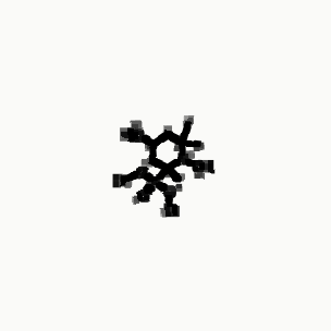 CCOP(=O)(OCC)C1(C)CC(O)CC(C)(C)N1O